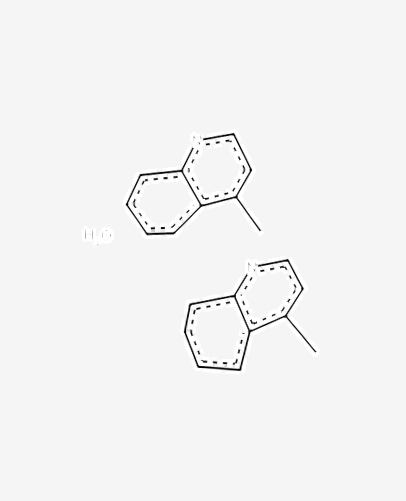 Cc1ccnc2ccccc12.Cc1ccnc2ccccc12.O